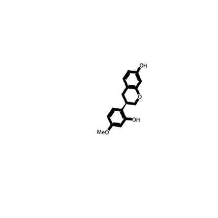 COc1ccc([C@@H]2COc3cc(O)ccc3C2)c(O)c1